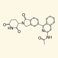 CC(=O)Nc1cc2ccccc2c(-c2ccc3c(c2)CN(C2CCC(=O)NC2=O)C3=O)n1